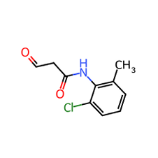 Cc1cccc(Cl)c1NC(=O)CC=O